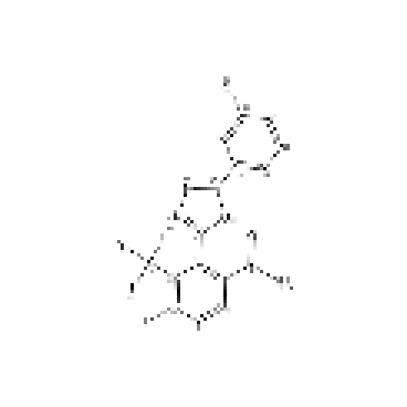 NC(=O)c1ccc(F)c(C(F)(F)F)c1-c1nnc(-c2cccc(Cl)c2)o1